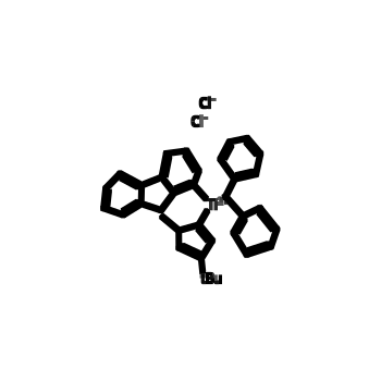 CC1C=C(C(C)(C)C)C=[C]1[Ti+2](=[C](c1ccccc1)c1ccccc1)[c]1cccc2c1Cc1ccccc1-2.[Cl-].[Cl-]